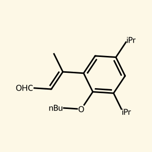 CCCCOc1c(C(C)=CC=O)cc(C(C)C)cc1C(C)C